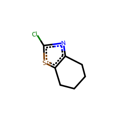 Clc1nc2c(s1)CCCC2